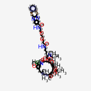 COc1cc2cc(c1Cl)N(C)C(=O)C[C@H](OC(=O)[C@H](CCCCNC(=O)CCOCCOCCNC(=O)c1ccc3nc4c(nc3c1)CSC1=C/C=C\C=C/C=C\1SC4)N(C)C(C)=O)[C@]1(C)O[C@H]1[C@H](C)[C@@H](OC(C)=O)C[C@@H](C)[C@H](OC)/C=C/C=C(\C)C2